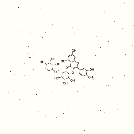 C[C@H]1C[C@H](OC[C@@H]2C[C@H](Oc3c(-c4ccc(O)c(O)c4)oc4cc(O)cc(O)c4c3=O)[C@@H](O)[C@H](O)[C@H]2O)[C@@H](O)[C@@H](O)[C@@H]1O